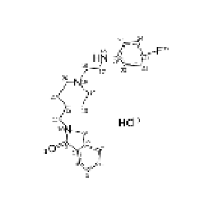 Cl.O=C1c2ccccc2CN1CC1CCN(CCNc2ccc(F)cc2)CC1